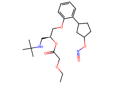 CCOCC(=O)O[C@@H](CNC(C)(C)C)COc1ccccc1C1CCC(ON=O)C1